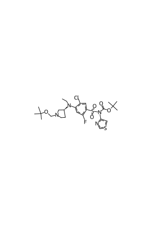 CCN(c1cc(F)c(S(=O)(=O)N(C(=O)OC(C)(C)C)c2cscn2)cc1Cl)[C@H]1CCN(COC(C)(C)C)C1